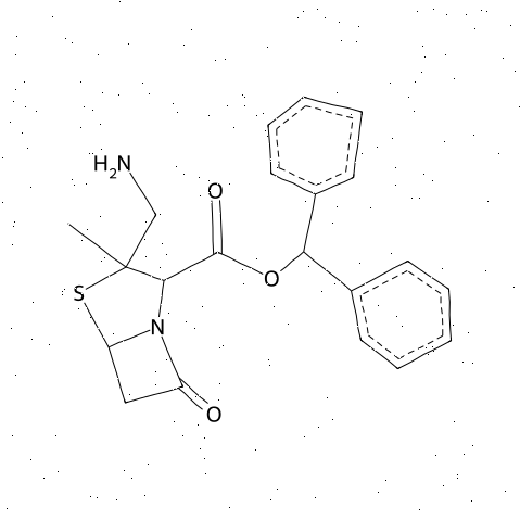 CC1(CN)SC2CC(=O)N2C1C(=O)OC(c1ccccc1)c1ccccc1